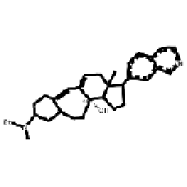 CCN(C)C1CCC2=CC3=CCC4(C)C(c5ccc6ccncc6c5)CCC4[C@@]3(O)CCC2C1